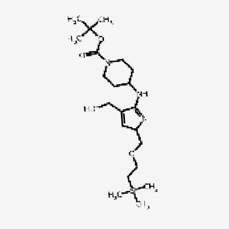 CCC1=CC(COCC[Si](C)(C)C)N=C1NC1CCN(C(=O)OC(C)(C)C)CC1